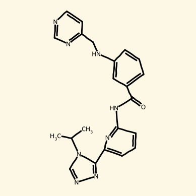 CC(C)n1cnnc1-c1cccc(NC(=O)c2cccc(NCc3ccncn3)c2)n1